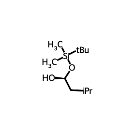 CC(C)C[C@@H](O)O[Si](C)(C)C(C)(C)C